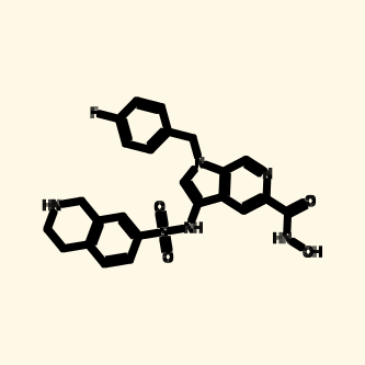 O=C(NO)c1cc2c(NS(=O)(=O)c3ccc4c(c3)CNCC4)cn(Cc3ccc(F)cc3)c2cn1